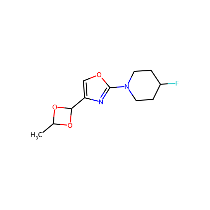 CC1OC(c2coc(N3CCC(F)CC3)n2)O1